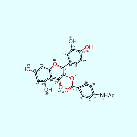 CC(=O)Nc1ccc(C(=O)Oc2c(-c3ccc(O)c(O)c3)oc3cc(O)cc(O)c3c2=O)cc1